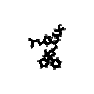 CC(=O)OCc1cc([C@H](CCO[Si](c2ccccc2)(c2ccccc2)C(C)(C)C)CC(=O)OC(C)(C)C)no1